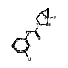 O=C(Nc1cccc(Cl)n1)[C@@H]1CC2C[C@H]2N1